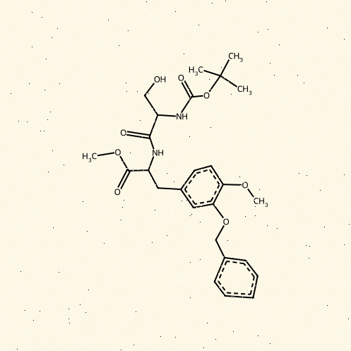 COC(=O)C(Cc1ccc(OC)c(OCc2ccccc2)c1)NC(=O)C(CO)NC(=O)OC(C)(C)C